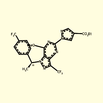 CCOC(=O)c1cnn(-c2nc(OC)c3c(n2)c(C(F)(F)F)nn3[C@@H](C)c2ccc(C(F)(F)F)cc2)c1